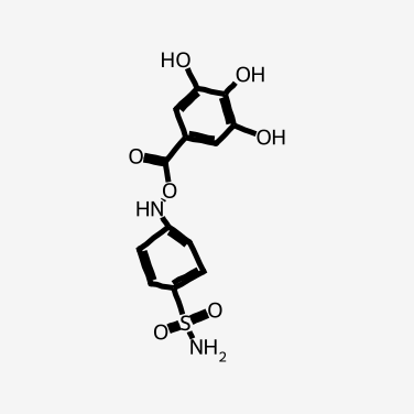 NS(=O)(=O)c1ccc(NOC(=O)c2cc(O)c(O)c(O)c2)cc1